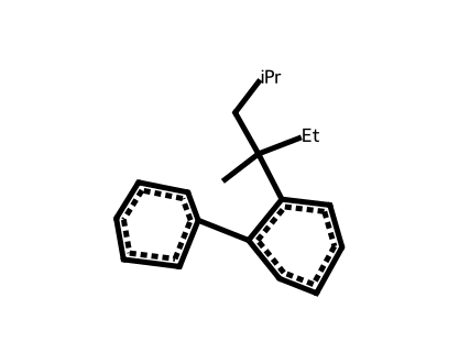 CCC(C)(CC(C)C)c1ccccc1-c1ccccc1